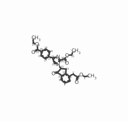 CCOC(=O)Cc1cccc2c1CC(n1cc(-c3ccc(C(=O)OCC)cc3)nc1C(=O)OCC)C2=O